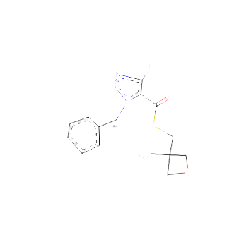 C[C@H](c1ccccc1)n1nnc(F)c1C(=O)SCC1(C)COC1